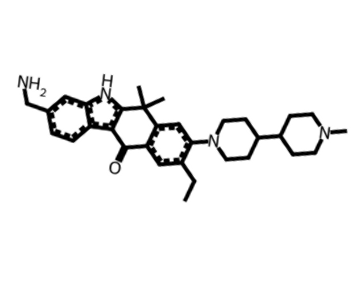 CCc1cc2c(cc1N1CCC(C3CCN(C)CC3)CC1)C(C)(C)c1[nH]c3cc(CN)ccc3c1C2=O